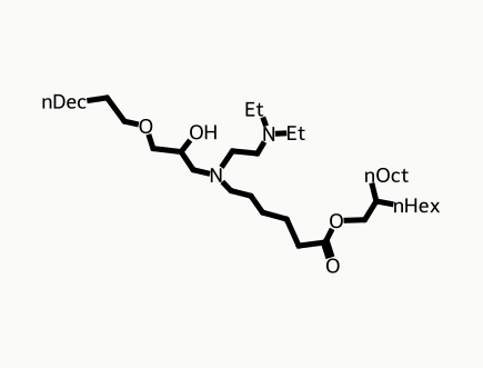 CCCCCCCCCCCCOCC(O)CN(CCCCCC(=O)OCC(CCCCCC)CCCCCCCC)CCN(CC)CC